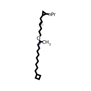 CCCC1CC1C/C=C/CCCO/C(C)=C/CCCCCCCCC1CCC1